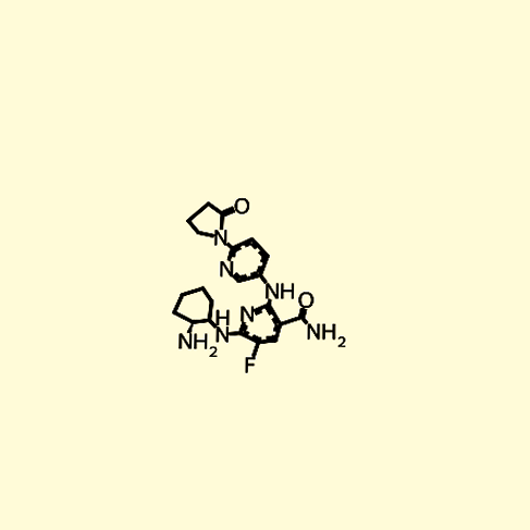 NC(=O)c1cc(F)c(NC2CCCC[C@@H]2N)nc1Nc1ccc(N2CCCC2=O)nc1